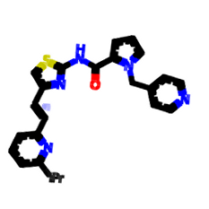 CC(C)c1cccc(/C=C/c2csc(NC(=O)c3cccn3Cc3ccncc3)n2)n1